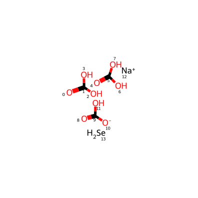 O=C(O)O.O=C(O)O.O=C([O-])O.[Na+].[SeH2]